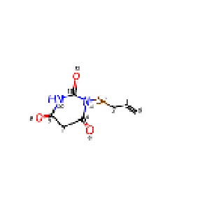 C=CCSN1C(=O)CC(=O)NC1=O